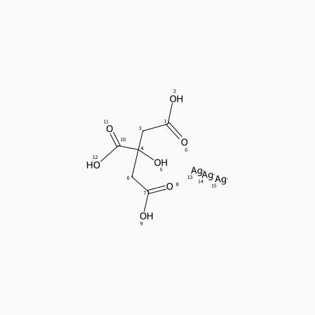 O=C(O)CC(O)(CC(=O)O)C(=O)O.[Ag].[Ag].[Ag]